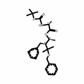 C[C@H](NC(=O)OC(C)(C)C)C(=O)O[C@@H](C)[C@H](Cc1ccccc1)C(C)(C)OCc1ccccc1